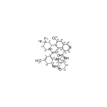 CC1=CC(C(=O)N2CCC(F)(F)CC2)=C(N[C@@H]2COCC[C@@H]2NC(=O)c2cncc3cc(Cl)ccc23)C(N)C1